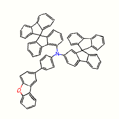 c1ccc2c(c1)-c1ccccc1C21c2ccccc2-c2ccc(N(c3ccc(-c4ccc5oc6ccccc6c5c4)cc3)c3cccc4c3-c3ccccc3C43c4ccccc4-c4ccccc43)cc21